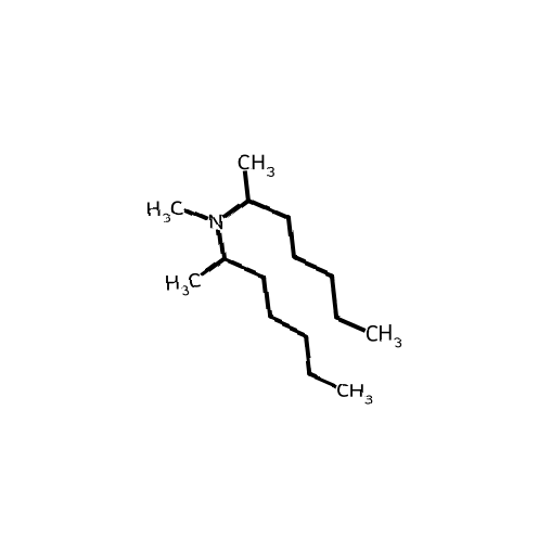 CCCCCC(C)N(C)C(C)CCCCC